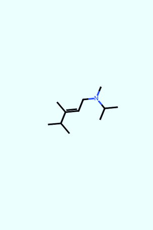 C/C(=C\CN(C)C(C)C)C(C)C